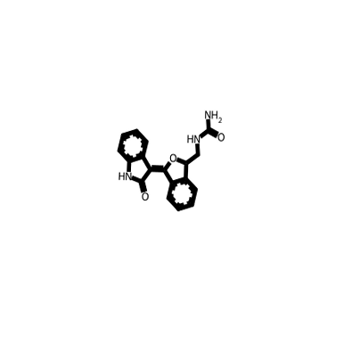 NC(=O)NCC1OC(=C2C(=O)Nc3ccccc32)c2ccccc21